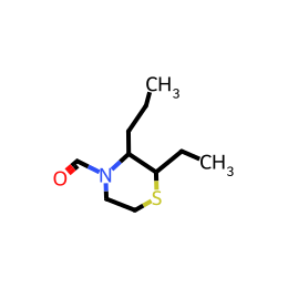 CCCC1C(CC)SCCN1C=O